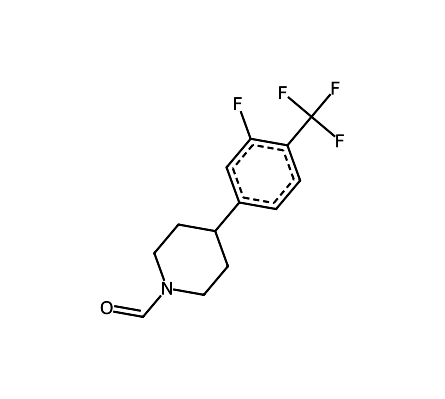 O=CN1CCC(c2ccc(C(F)(F)F)c(F)c2)CC1